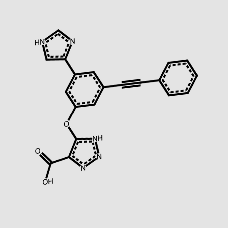 O=C(O)c1nn[nH]c1Oc1cc(C#Cc2ccccc2)cc(-c2c[nH]cn2)c1